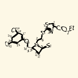 CCOC(=O)c1csc(SCCN2C(=S)CC[C@@H]2COc2cc(Cl)cc(Cl)c2)n1